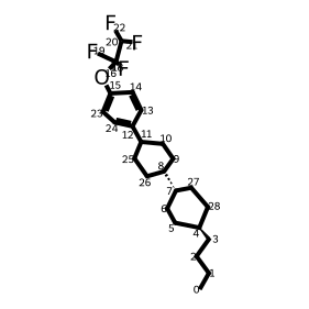 CCCC[C@H]1CC[C@H](C2CCC(c3ccc(OC(F)(F)C(F)F)cc3)CC2)CC1